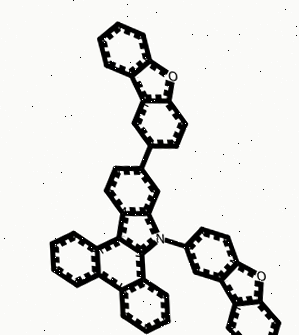 c1ccc2c(c1)oc1ccc(-c3ccc4c5c6ccccc6c6ccccc6c5n(-c5ccc6oc7ccccc7c6c5)c4c3)cc12